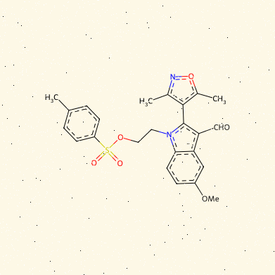 COc1ccc2c(c1)c(C=O)c(-c1c(C)noc1C)n2CCOS(=O)(=O)c1ccc(C)cc1